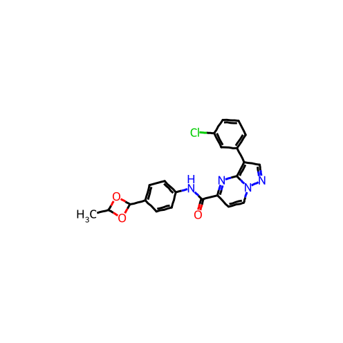 CC1OC(c2ccc(NC(=O)c3ccn4ncc(-c5cccc(Cl)c5)c4n3)cc2)O1